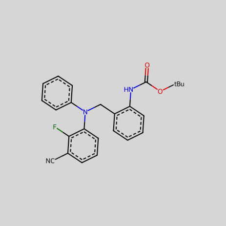 CC(C)(C)OC(=O)Nc1ccccc1CN(c1ccccc1)c1cccc(C#N)c1F